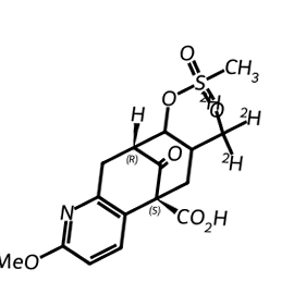 [2H]C([2H])([2H])C1C[C@@]2(C(=O)O)C(=O)[C@H](Cc3nc(OC)ccc32)C1OS(C)(=O)=O